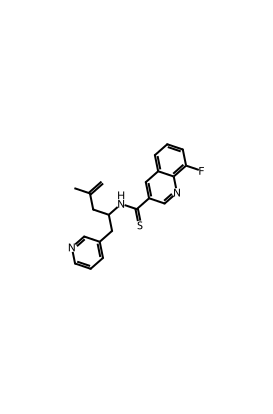 C=C(C)CC(Cc1cccnc1)NC(=S)c1cnc2c(F)cccc2c1